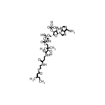 CCC(C)=CC(=O)SCCNC(=O)CCNC(=O)[C@H](O)C(C)(C)COP(=O)(O)OP(=O)(O)OC[C@H]1O[C@@H](n2cnc3c(N)ncnc32)[C@H](O)[C@@H]1OP(=O)(O)O